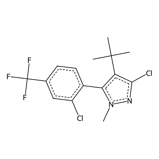 Cn1nc(Cl)c(C(C)(C)C)c1-c1ccc(C(F)(F)F)cc1Cl